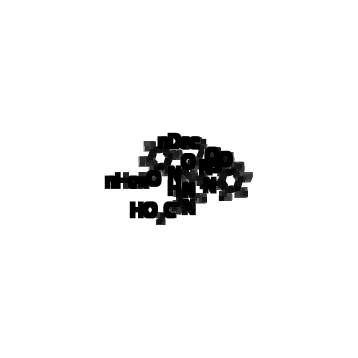 CCCCCCCCCCCCN1C(C(C(=O)Nc2ccccc2OCCCCCC)n2cnc(C(=O)O)c2)=Nc2ccccc2S1(=O)=O